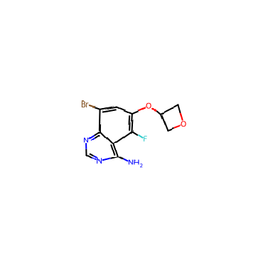 Nc1ncnc2c(Br)cc(OC3COC3)c(F)c12